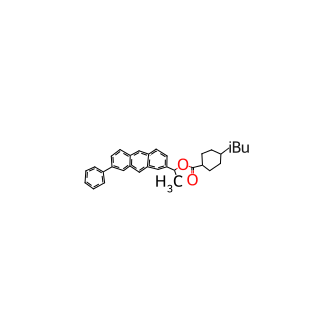 CCC(C)C1CCC(C(=O)OC(C)c2ccc3cc4ccc(-c5ccccc5)cc4cc3c2)CC1